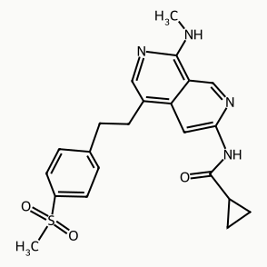 CNc1ncc(CCc2ccc(S(C)(=O)=O)cc2)c2cc(NC(=O)C3CC3)ncc12